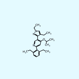 CCc1cn(CC)nc1-c1cnc(-c2c(CC)cccc2CC)cc1OC(C)C